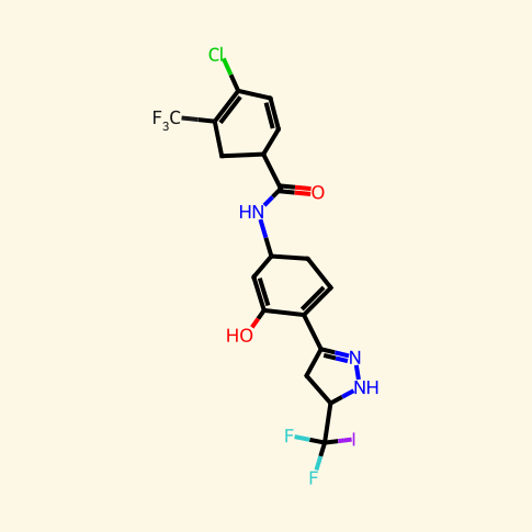 O=C(NC1C=C(O)C(C2=NNC(C(F)(F)I)C2)=CC1)C1C=CC(Cl)=C(C(F)(F)F)C1